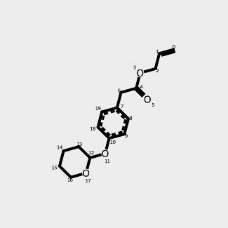 C=CCOC(=O)Cc1ccc(OC2CCCCO2)cc1